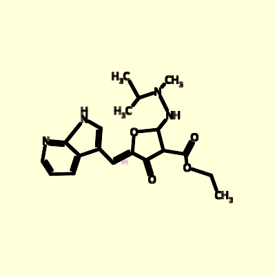 CCOC(=O)C1C(=O)/C(=C/c2c[nH]c3ncccc23)OC1NN(C)C(C)C